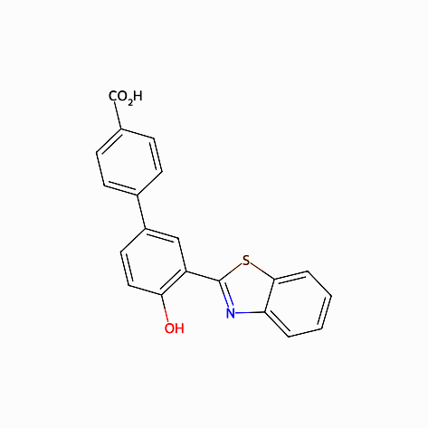 O=C(O)c1ccc(-c2ccc(O)c(-c3nc4ccccc4s3)c2)cc1